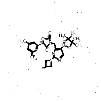 Cc1cc([C@H]2OC(=O)N(Cc3nc(N4CC(F)C4)ncc3B3OC(C)(C)C(C)(C)O3)[C@H]2C)cc(C(F)(F)F)c1